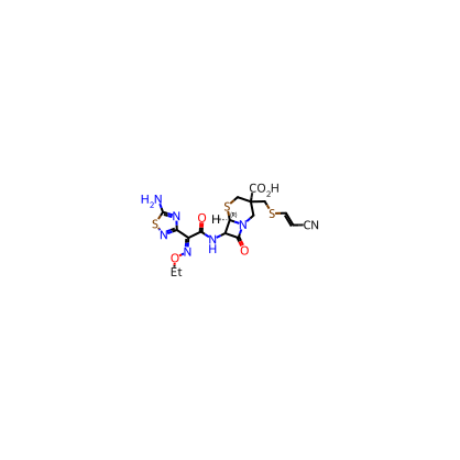 CCON=C(C(=O)NC1C(=O)N2CC(CSC=CC#N)(C(=O)O)CS[C@H]12)c1nsc(N)n1